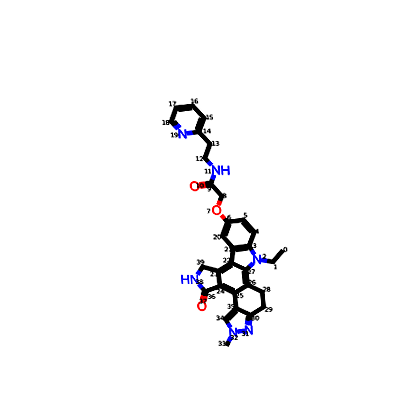 CCn1c2ccc(OCC(=O)NCCc3ccccn3)cc2c2c3c(c4c(c21)CCc1nn(C)cc1-4)C(=O)NC3